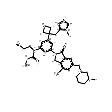 C[C@H]1CCCN(Cc2cc3c(c(C(F)(F)F)c2)CN(c2cc(C4(Cc5nncn5C)COC4)cc(N(CCC#N)C(=O)OC(C)(C)C)n2)C3=O)C1